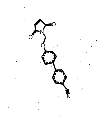 N#Cc1ccc(-c2ccc(OCN3C(=O)C=CC3=O)cc2)cc1